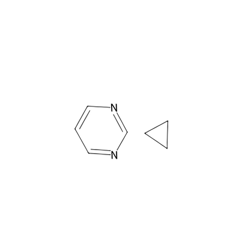 C1CC1.c1cncnc1